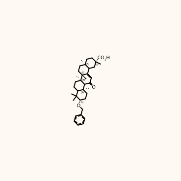 CC1(C)C2CC[C@]3(C)C(C(=O)C=C4C5C[C@@](C)(C(=O)O)CC[C@]5(C)CC[C@]43C)[C@@]2(C)CC[C@@H]1OCc1ccccc1